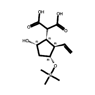 C=C[C@@H]1[C@@H](C(C(=O)O)C(=O)O)[C@@H](O)C[C@H]1O[Si](C)(C)C